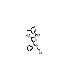 Cc1cccc(C(=O)n2nc(N(OCCO)c3ccccc3)nc2N)c1